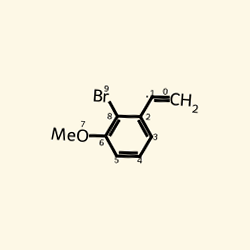 C=[C]c1cccc(OC)c1Br